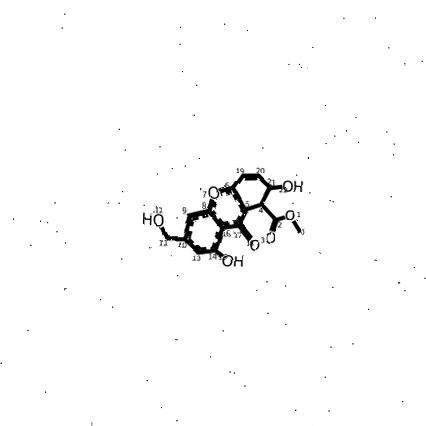 COC(=O)C1c2c(oc3cc(CO)cc(O)c3c2=O)C=CC1O